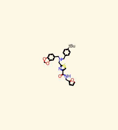 CC(C)(C)c1ccc(CN(Cc2ccc3c(c2)OCO3)Cc2nc(C(=O)NCc3ccco3)cs2)cc1